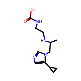 CC(Cn1cncc1C1CC1)NCCNC(=O)O